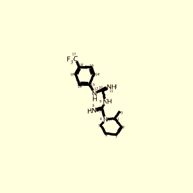 CC1CCCCN1C(=N)NC(=N)Nc1ccc(C(F)(F)F)cc1